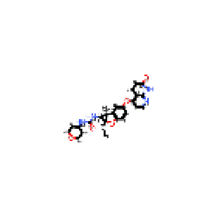 CC12Oc3ccc(Oc4ccnc5c4CCC(=O)N5)cc3[C@H]1[C@@H]2NC(=O)NC1CCOCC1